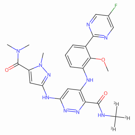 [2H]C([2H])([2H])NC(=O)c1nnc(Nc2cc(C(=O)N(C)C)n(C)n2)cc1Nc1cccc(-c2ncc(F)cn2)c1OC